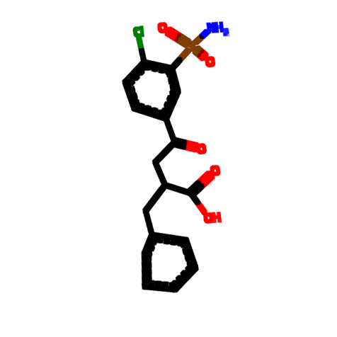 NS(=O)(=O)c1cc(C(=O)CC(Cc2ccccc2)C(=O)O)ccc1Cl